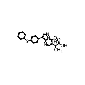 CC(C(=O)O)c1cnc2c(-c3ccc(Sc4ccccc4)cc3)cnn2c1O